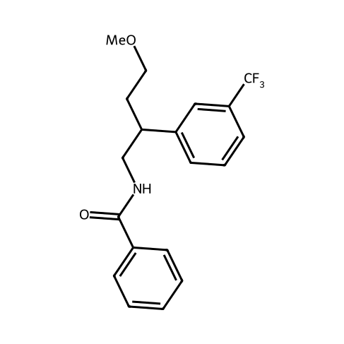 COCCC(CNC(=O)c1ccccc1)c1cccc(C(F)(F)F)c1